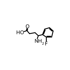 NC(CCC(=O)O)c1ccccc1F